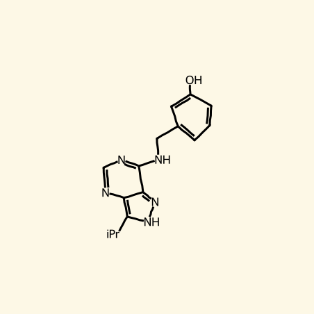 CC(C)c1[nH]nc2c(NCc3cccc(O)c3)ncnc12